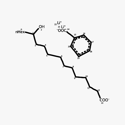 CCCCCCC(O)CCCCCCCCCCC(=O)[O-].O=C([O-])c1ccccc1.[Li+].[Li+]